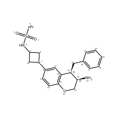 CCCS(=O)(=O)NC1CN(c2ccc3c(c2)[C@@H](Cc2ccccc2)[C@@H](N)CO3)C1